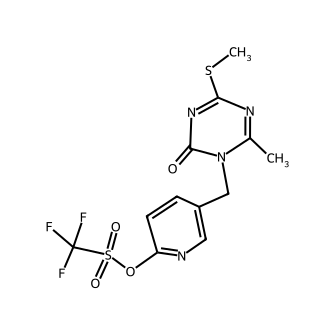 CSc1nc(C)n(Cc2ccc(OS(=O)(=O)C(F)(F)F)nc2)c(=O)n1